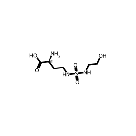 N[C@@H](CCNS(=O)(=O)NCCO)C(=O)O